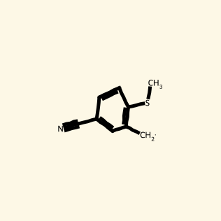 [CH2]c1cc(C#N)ccc1SC